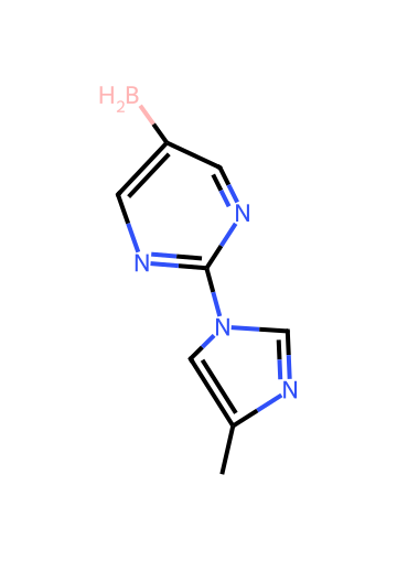 Bc1cnc(-n2cnc(C)c2)nc1